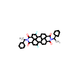 CC(c1ccccc1)N1C(=O)c2ccc3c4c(F)cc5c6c(cc(F)c(c7ccc(c2c37)C1=O)c64)C(=O)N(C(C)c1ccccc1)C5=O